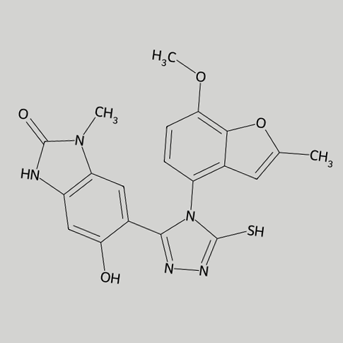 COc1ccc(-n2c(S)nnc2-c2cc3c(cc2O)[nH]c(=O)n3C)c2cc(C)oc12